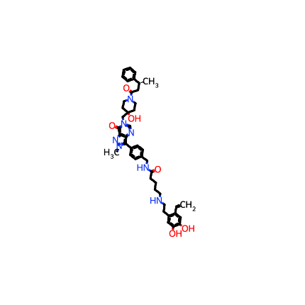 C=Cc1cc(O)c(O)cc1CCNCCCCC(=O)NCc1ccc(-c2c3ncn(CC4(O)CCN(C(=O)C[C@@H](C)c5ccccc5)CC4)c(=O)c3nn2C)cc1